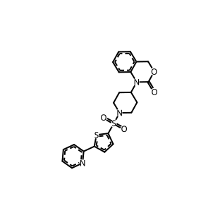 O=C1OCc2ccccc2N1C1CCN(S(=O)(=O)c2ccc(-c3ccccn3)s2)CC1